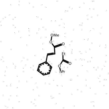 CCCOC(=O)CC.COOC(=O)C=Cc1ccccc1